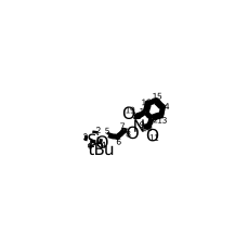 CC(C)(C)[Si](C)(C)OCCCON1C(=O)c2ccccc2C1=O